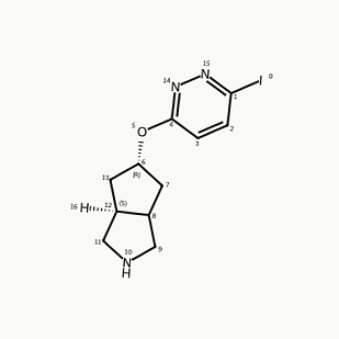 Ic1ccc(O[C@@H]2CC3CNC[C@H]3C2)nn1